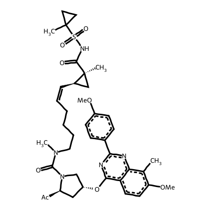 COc1ccc(-c2nc(O[C@@H]3C[C@@H](C(C)=O)N(C(=O)N(C)CCCC/C=C\[C@@H]4C[C@]4(C)C(=O)NS(=O)(=O)C4(C)CC4)C3)c3ccc(OC)c(C)c3n2)cc1